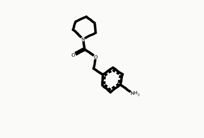 Nc1ccc(COC(=O)N2CCCCC2)cc1